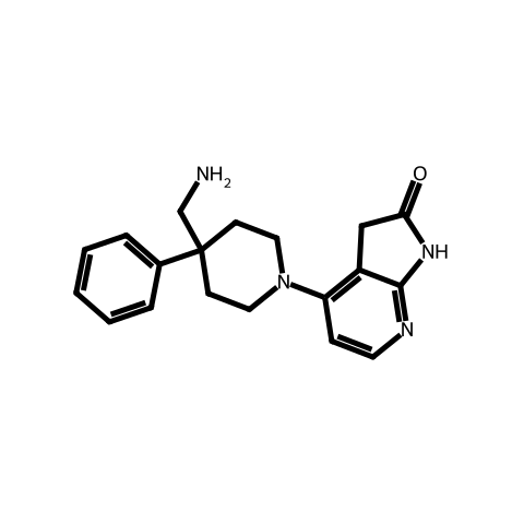 NCC1(c2ccccc2)CCN(c2ccnc3c2CC(=O)N3)CC1